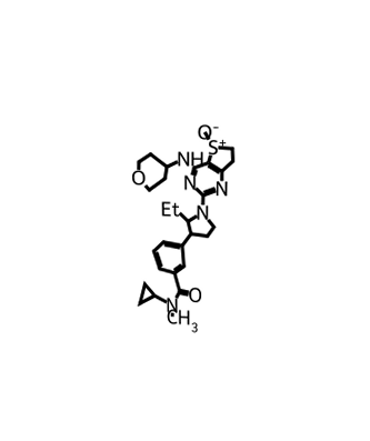 CCC1C(c2cccc(C(=O)N(C)C3CC3)c2)CCN1c1nc2c(c(NC3CCOCC3)n1)[S+]([O-])CC2